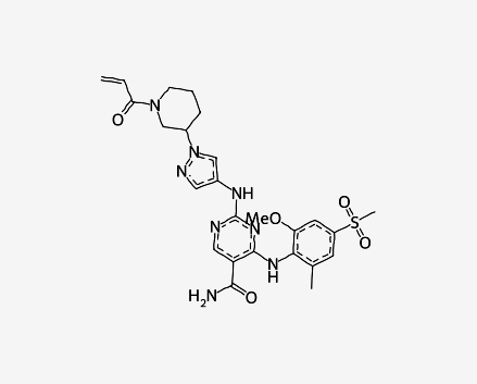 C=CC(=O)N1CCCC(n2cc(Nc3ncc(C(N)=O)c(Nc4c(C)cc(S(C)(=O)=O)cc4OC)n3)cn2)C1